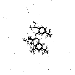 CC[C@H](OC)c1ccc(C(F)(F)F)cc1CN(Cc1cc(C(F)(F)F)cc(C(F)(F)F)c1)c1nnn(C)n1